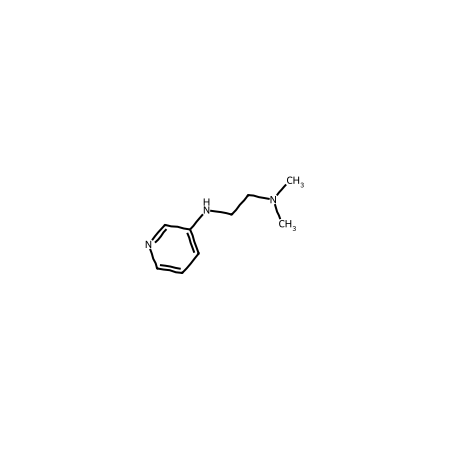 CN(C)CCNc1cccnc1